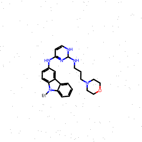 CCn1c2ccccc2c2cc(NC3=NC(NCCCN4CCOCC4)NC=C3)ccc21